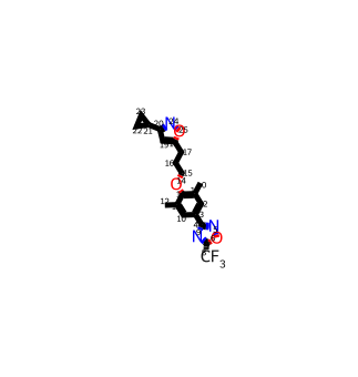 Cc1cc(-c2noc(C(F)(F)F)n2)cc(C)c1OCCCc1cc(C2CC2)no1